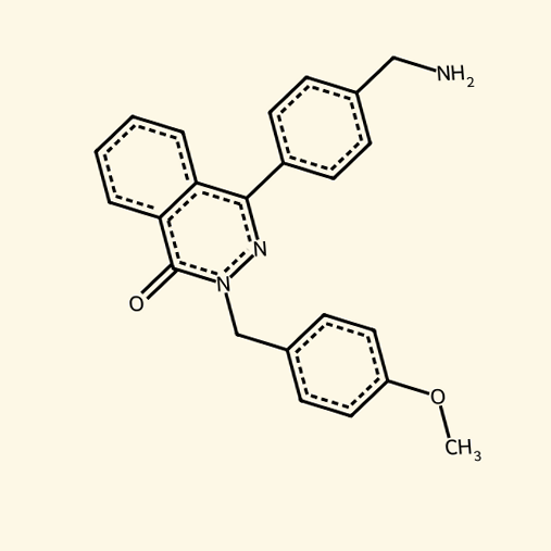 COc1ccc(Cn2nc(-c3ccc(CN)cc3)c3ccccc3c2=O)cc1